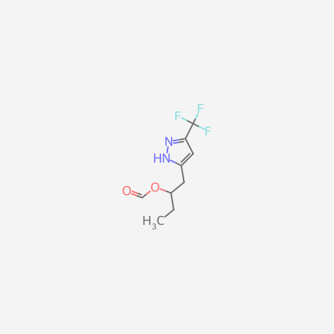 CCC(Cc1cc(C(F)(F)F)n[nH]1)OC=O